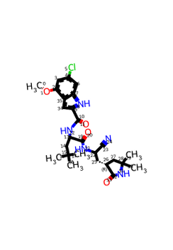 COc1cc(Cl)cc2[nH]c(C(=O)NC(CC(C)(C)C)C(=O)NC(C#N)C[C@@H]3CC(C)(C)NC3=O)cc12